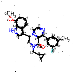 COc1cccc2c(CCN(CC3CC3)C(=O)c3nccnc3-c3cc(C)cc(F)c3)c[nH]c12